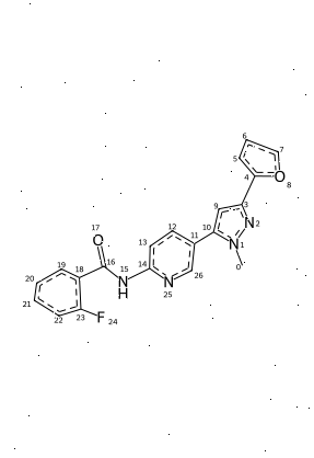 Cn1nc(-c2ccco2)cc1-c1ccc(NC(=O)c2ccccc2F)nc1